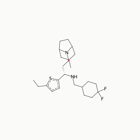 CCc1ccc([C@H](CCN2C3CCC2CC(C)C3)NCC2CCC(F)(F)CC2)s1